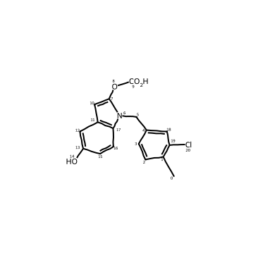 Cc1ccc(Cn2c(OC(=O)O)cc3cc(O)ccc32)cc1Cl